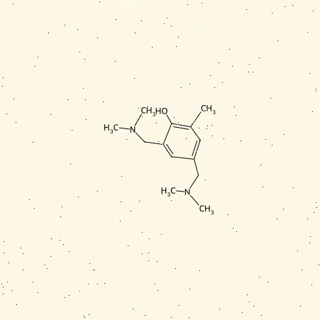 Cc1cc(CN(C)C)cc(CN(C)C)c1O